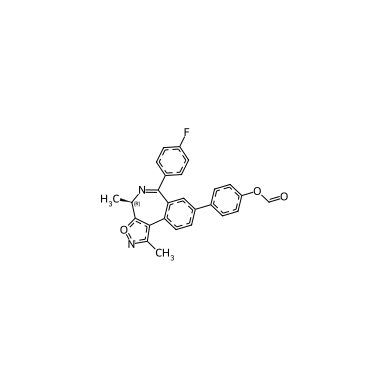 Cc1noc2c1-c1ccc(-c3ccc(OC=O)cc3)cc1C(c1ccc(F)cc1)=N[C@@H]2C